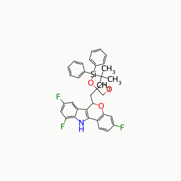 CC(C)(C)[Si](OC1(CC2Oc3cc(F)ccc3-c3[nH]c4c(F)cc(F)cc4c32)COC1)(c1ccccc1)c1ccccc1